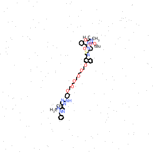 C[C@@H](C(=O)N[C@H](C(=O)N1CCC[C@H]1c1nc(-c2ccc(OCCOCCOCCOCCOCCOC3CCC(Nc4nccc(-c5cnn(Cc6ccccc6)c5N(C)C)n4)CC3)c3ccccc23)cs1)C1=CCCCC1)N(C)C(=O)OC(C)(C)C